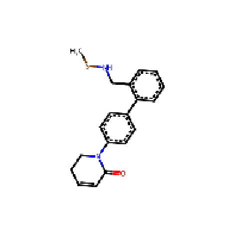 CSNCc1ccccc1-c1ccc(N2CCC=CC2=O)cc1